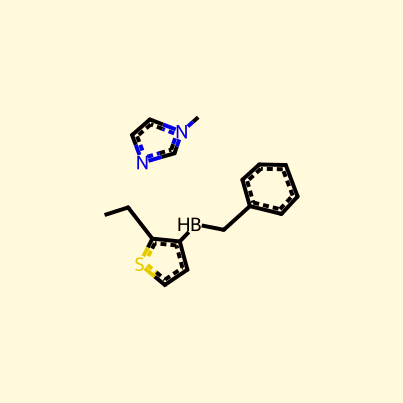 CCc1sccc1BCc1ccccc1.Cn1ccnc1